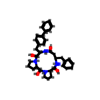 O=C1CC(Cc2ccccc2)NC(=O)C2CCCN2C(=O)C2CCCN2C(=O)C(Cc2ccc(-c3ccccc3)cc2)N1